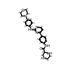 O=C(Nc1ccc(-c2ccnc(Nc3ccc(N4CCOCC4)cc3)n2)cc1)C1CNCCN1